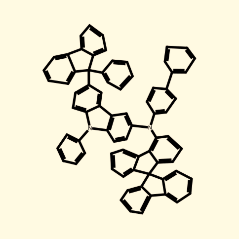 c1ccc(-c2ccc(N(c3ccc4c(c3)c3cc(C5(c6ccccc6)c6ccccc6-c6ccccc65)ccc3n4-c3ccccc3)c3cccc4c3-c3ccccc3C43c4ccccc4-c4ccccc43)cc2)cc1